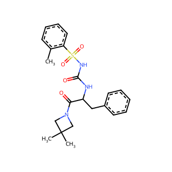 Cc1ccccc1S(=O)(=O)NC(=O)NC(Cc1ccccc1)C(=O)N1CC(C)(C)C1